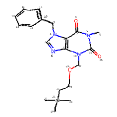 Cn1c(=O)c2c(ncn2Cc2ccccc2)n(COCC[Si](C)(C)C)c1=O